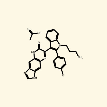 CC(=O)O.NCCCn1c(-c2ccc(Cl)cc2)c(-c2nc3cc4[nH]cnc4cc3[nH]c2=O)c2ccccc21